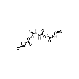 N#CONC(=O)OOC(=O)NNC(=O)OOC(=O)NN=C=O